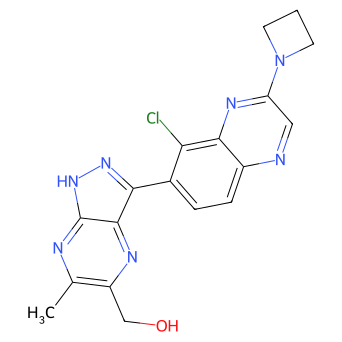 Cc1nc2[nH]nc(-c3ccc4ncc(N5CCC5)nc4c3Cl)c2nc1CO